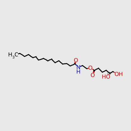 CCCCCCCCCCCCCCCC(=O)NCCOC(=O)CCC[C@H](O)CO